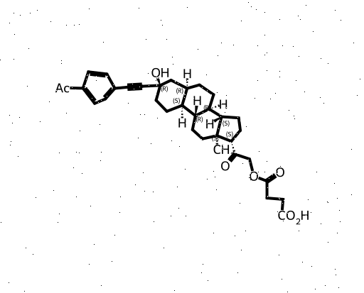 CC(=O)c1ccc(C#C[C@@]2(O)CC[C@H]3[C@H](CC[C@@H]4[C@@H]3CC[C@]3(C)[C@@H](C(=O)COC(=O)CCC(=O)O)CC[C@@H]43)C2)cc1